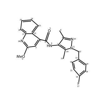 COc1cc(C(=O)Nc2c(C)nn(Cc3ccc(F)cc3)c2C)c2ccccc2n1